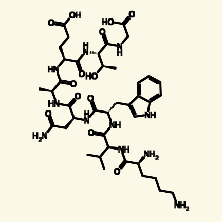 CC(C)[C@H](NC(=O)[C@@H](N)CCCCN)C(=O)N[C@@H](Cc1c[nH]c2ccccc12)C(=O)N[C@@H](CC(N)=O)C(=O)N[C@@H](C)C(=O)N[C@@H](CCC(=O)O)C(=O)N[C@H](C(=O)NCC(=O)O)[C@@H](C)O